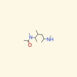 CNC(C)CC(C)C(C)N(C)C(C)=O